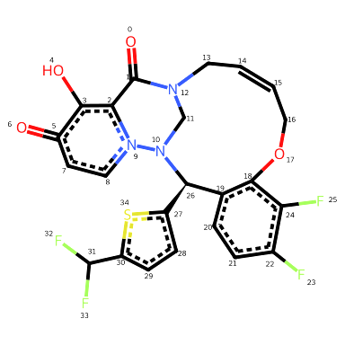 O=C1c2c(O)c(=O)ccn2N2CN1C/C=C\COc1c(ccc(F)c1F)[C@H]2c1ccc(C(F)F)s1